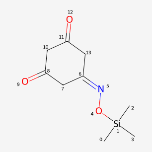 C[Si](C)(C)ON=C1CC(=O)CC(=O)C1